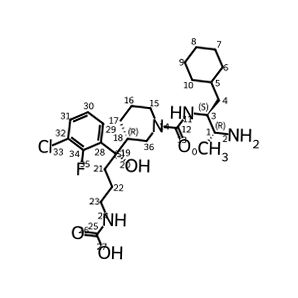 C[C@@H](N)[C@H](CC1CCCCC1)NC(=O)N1CCC[C@@H]([C@@](O)(CCCNC(=O)O)c2cccc(Cl)c2F)C1